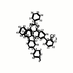 Cc1ccc(-c2ccc3c4ccccc4n(-c4cc(-c5ccccc5C(F)(F)F)ccc4-c4nc(-c5ccccc5)nc(-c5ccccc5)n4)c3c2)cc1